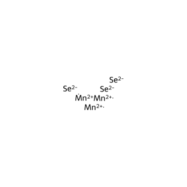 [Mn+2].[Mn+2].[Mn+2].[Se-2].[Se-2].[Se-2]